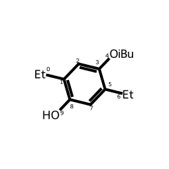 CCc1cc(OCC(C)C)c(CC)cc1O